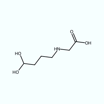 O=C(O)CNCCCC(O)O